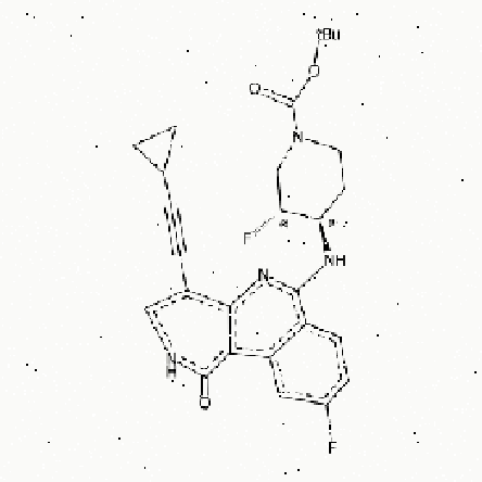 CC(C)(C)OC(=O)N1CC[C@@H](Nc2nc3c(C#CC4CC4)c[nH]c(=O)c3c3cc(F)ccc23)[C@H](F)C1